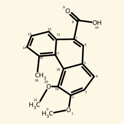 COc1ccc2cc(C(=O)O)c3cccc(C)c3c2c1OC